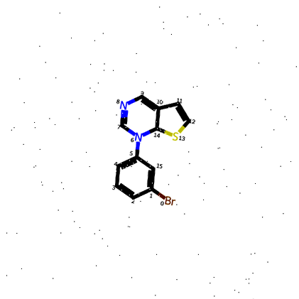 Brc1cccc(N2C=NC=C3C=CSC32)c1